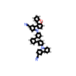 N#Cc1ccc2c(c1)c1ccccc1n2-c1cccc(-c2ccccc2-c2cccc(-n3c4ccc(C#N)cc4c4c5c(ccc43)oc3ccccc35)c2)c1